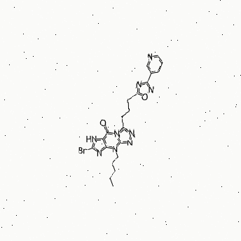 CCCCCn1c2nc(Br)[nH]c2c(=O)n2c(CCCc3nc(-c4cccnc4)no3)nnc12